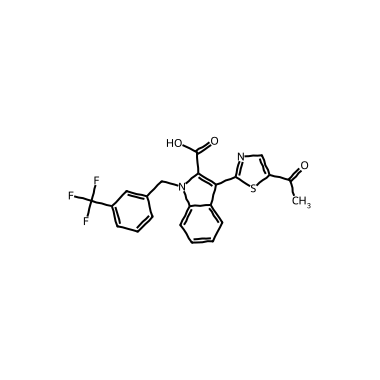 CC(=O)c1cnc(-c2c(C(=O)O)n(Cc3cccc(C(F)(F)F)c3)c3ccccc23)s1